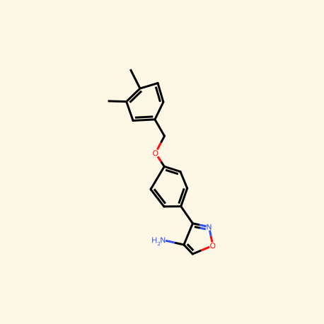 Cc1ccc(COc2ccc(-c3nocc3N)cc2)cc1C